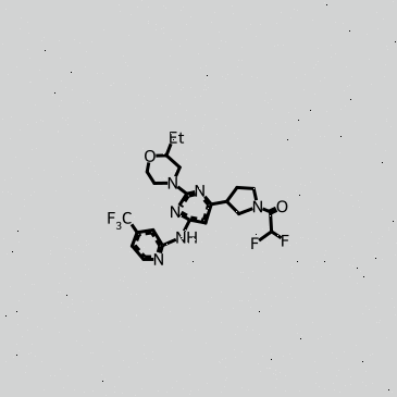 CCC1CN(c2nc(Nc3cc(C(F)(F)F)ccn3)cc(C3CCN(C(=O)C(F)F)C3)n2)CCO1